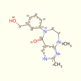 Cc1ncc2c(n1)N(C)CCN(c1cccc(CO)c1)C2=O